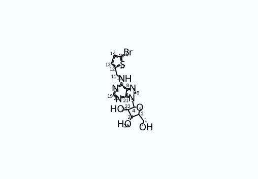 OCC1OC(n2cnc3c(NCc4ccc(Br)s4)ncnc32)C(O)C1O